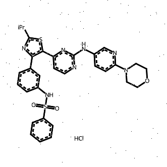 CC(C)c1nc(-c2cccc(NS(=O)(=O)c3ccccc3)c2)c(-c2ccnc(Nc3ccc(N4CCOCC4)nc3)n2)s1.Cl